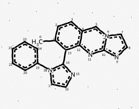 Cc1ccc2cn3ccnc3nc2c1-c1nccn1-c1ccccc1